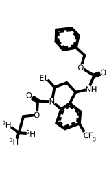 [2H]C([2H])([2H])COC(=O)N1c2ccc(C(F)(F)F)cc2C(NC(=O)OCc2ccccc2)CC1CC